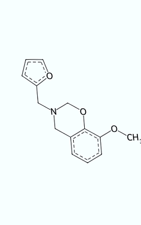 COc1cccc2c1OCN(Cc1ccco1)C2